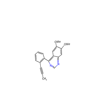 CC#Cc1ccc[c]c1-c1ncnc2cc(OC)c(OC)cc12